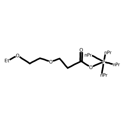 CCCP(CCC)(CCC)(CCC)OC(=O)CCOCCOCC